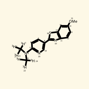 [3H]C([3H])([3H])N(c1ccc(-c2nc3ccc(OC)cc3s2)cn1)C([3H])([3H])[3H]